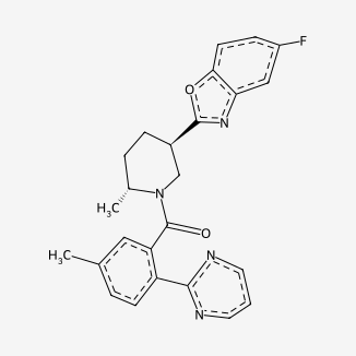 Cc1ccc(-c2ncccn2)c(C(=O)N2C[C@H](c3nc4cc(F)ccc4o3)CC[C@H]2C)c1